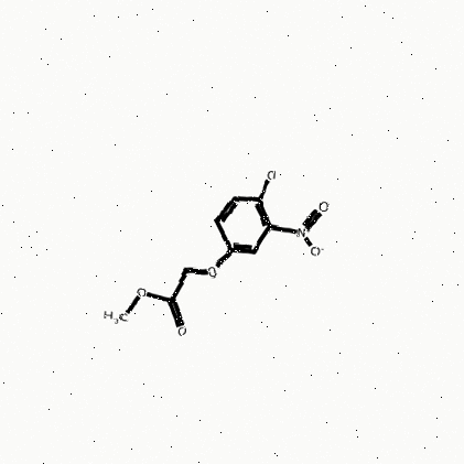 COC(=O)COc1ccc(Cl)c([N+](=O)[O-])c1